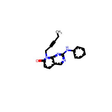 CCC#CCn1c(=O)ccc2cnc(Nc3ccccc3)nc21